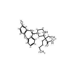 CCCCC(CC)(C(=O)O)C1CN(C2=Nc3cc(Cl)ccc3Oc3ccccc32)CCN1